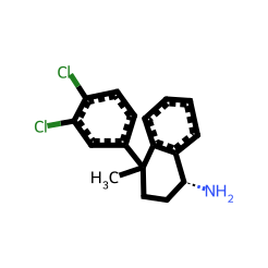 CC1(c2ccc(Cl)c(Cl)c2)CC[C@@H](N)c2ccccc21